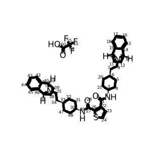 O=C(N[C@H]1CC[C@H](CCN2[C@@H]3CC[C@H]2c2ccccc23)CC1)c1ccsc1C(=O)N[C@H]1CC[C@H](CCN2[C@@H]3CC[C@H]2c2ccccc23)CC1.O=C(O)C(F)(F)F